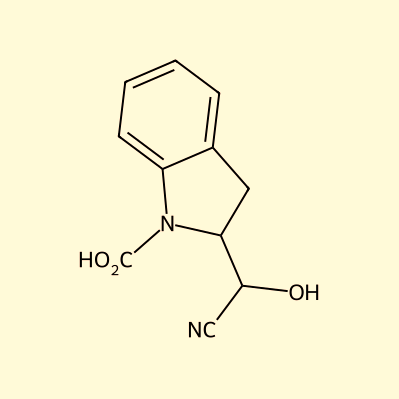 N#CC(O)C1Cc2ccccc2N1C(=O)O